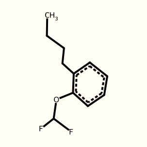 CCCCc1ccccc1OC(F)F